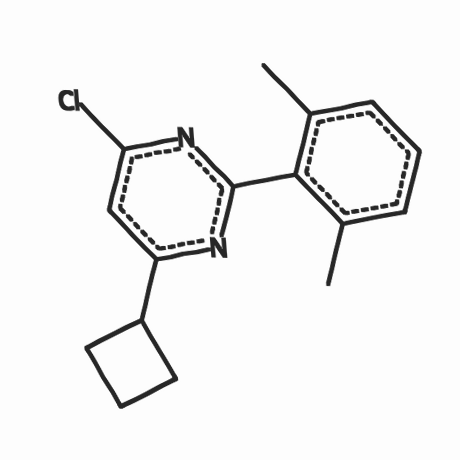 Cc1cccc(C)c1-c1nc(Cl)cc(C2CCC2)n1